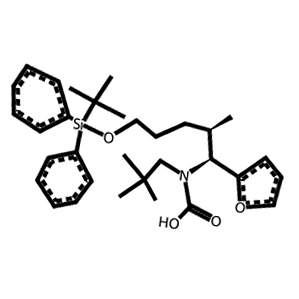 C[C@H](CCCO[Si](c1ccccc1)(c1ccccc1)C(C)(C)C)[C@@H](c1ccco1)N(CC(C)(C)C)C(=O)O